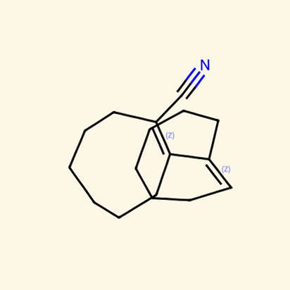 N#C/C1=C(\C2=C/CCCCCC2)CCCCCC1